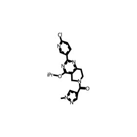 CC(C)Oc1nc(-c2ccc(Cl)nc2)nc2c1CN(C(=O)c1cnn(C)c1)CC2